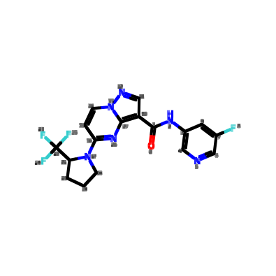 O=C(Nc1cncc(F)c1)c1cnn2ccc(N3CCCC3C(F)(F)F)nc12